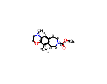 Cc1c2c(cc3c1OCCN3C)CCN(C(=O)OC(C)(C)C)CC2